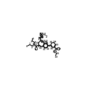 CCCN(CCC)C(=O)C1=Cc2ccc(C3=CC(C(=O)OCC)=CCC3)cc2NC(N=NN)C1